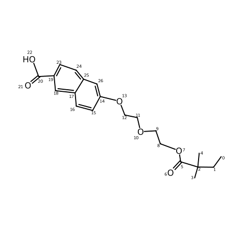 CCC(C)(C)C(=O)OCCOCCOc1ccc2cc(C(=O)O)ccc2c1